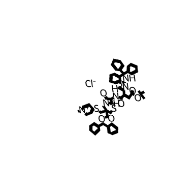 C[n+]1ccc(SCC2(C(=O)OC(c3ccccc3)c3ccccc3)CS[C@@H]3C(NC(=O)C(=CC(=O)OC(C)(C)C)c4csc(NC(c5ccccc5)(c5ccccc5)c5ccccc5)n4)C(=O)N3C2)cc1.[Cl-]